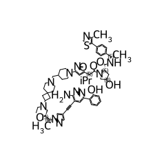 Cc1ncsc1-c1ccc([C@H](C)NC(=O)[C@@H]2C[C@@H](O)CN2C(=O)[C@@H](c2cc(N3CCC(CN4CCC5(CC4)CC(N4CCO[C@H]([C@@H](C)n6cc(C#Cc7cc(-c8ccccc8O)nnc7N)cn6)C4)C5)CC3)no2)C(C)C)cc1